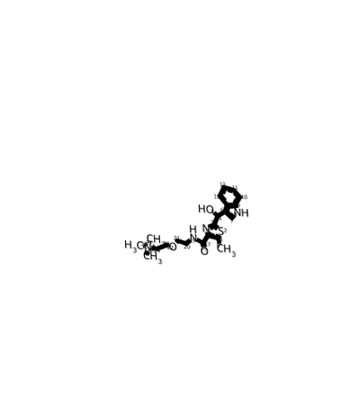 Cc1sc(C(O)c2c[nH]c3ccccc23)nc1C(=O)NCCOCC[N+](C)(C)C